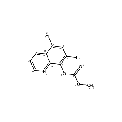 COC(=O)Oc1c(I)cc(Cl)c2cccnc12